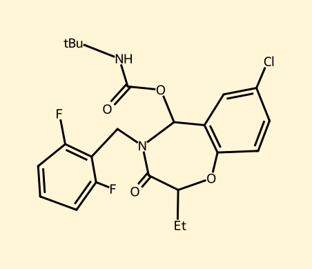 CCC1Oc2ccc(Cl)cc2C(OC(=O)NC(C)(C)C)N(Cc2c(F)cccc2F)C1=O